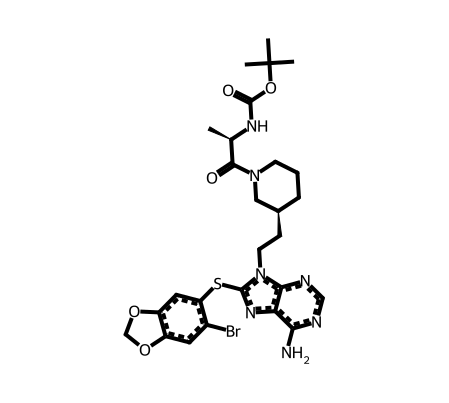 C[C@@H](NC(=O)OC(C)(C)C)C(=O)N1CCC[C@@H](CCn2c(Sc3cc4c(cc3Br)OCO4)nc3c(N)ncnc32)C1